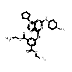 CCOC(=O)c1cc(Nc2nc(N[C@H]3CC[C@H](N)CC3)nc3c2ncn3C2CCCC2)cc(C(=O)OCC)c1